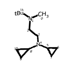 CN(CCN(C1CC1)C1CC1)C(C)(C)C